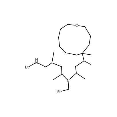 CCNCC(C)CC(C)N(CC(C)C)C(C)CC(C)C1(C)CCCCCCCCCC1